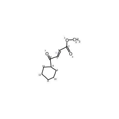 COC(=O)/C=C/C(=O)C1CCCCC1